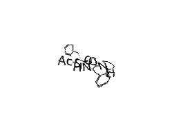 CC(=O)S[C@H](Cc1ccccc1)C(=O)N[C@H]1Cc2ccccc2[C@H]2CCCCN2C1=O